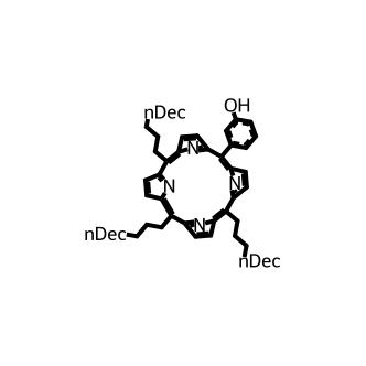 CCCCCCCCCCCCCC1=C2C=CC(=N2)C(CCCCCCCCCCCCC)=C2C=CC(=N2)C(c2cccc(O)c2)=C2C=CC(=N2)C(CCCCCCCCCCCCC)=C2C=CC1=N2